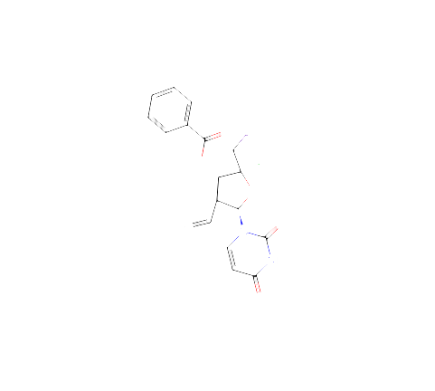 C=C[C@]1(F)[C@H](n2ccc(=O)[nH]c2=O)O[C@](F)(CI)[C@H]1OC(=O)c1ccccc1